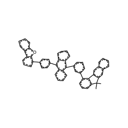 CC1(C)c2cc3ccccc3cc2-c2c(-c3cccc(-c4c5ccccc5c(-c5ccc(-c6cccc7c6oc6ccccc67)cc5)c5ccccc45)c3)cccc21